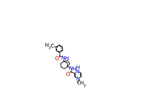 Cc1cccc(C(=O)NC23CCCC(NC(=O)C4=CN(C)C=CN4)(CC2)C3)c1